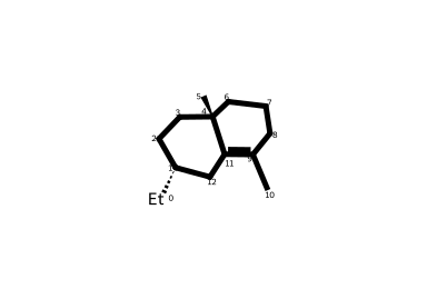 CC[C@@H]1CC[C@]2(C)CCCC(C)=C2C1